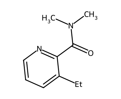 CCc1cccnc1C(=O)N(C)C